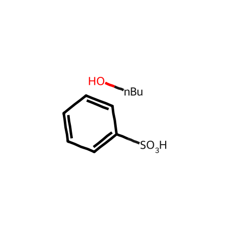 CCCCO.O=S(=O)(O)c1ccccc1